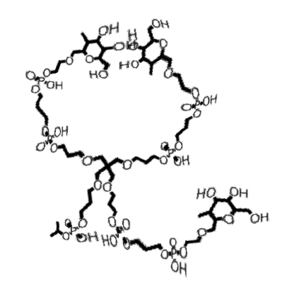 CC(C)OP(=O)(O)OCCCOCC(COCCCOP(=O)(O)OCCCOP(=O)(O)OCCOCC1OC(CO)C(O)C(O)C1C)(COCCCOP(=O)(O)OCCCOP(=O)(O)OCCOCC1OC(CO)C(O)C(O)C1C)COCCCOP(=O)(O)OCCCOP(=O)(O)OCCOCC1OC(CO)C(O)C(O)C1C